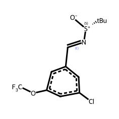 CC(C)(C)[S@@+]([O-])/N=C/c1cc(Cl)cc(OC(F)(F)F)c1